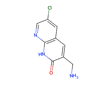 NCc1cc2cc(Cl)cnc2[nH]c1=O